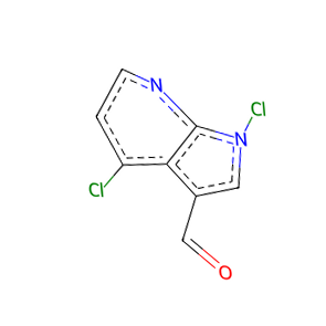 O=Cc1cn(Cl)c2nccc(Cl)c12